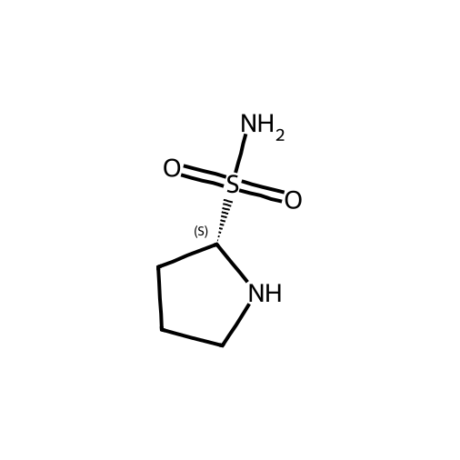 NS(=O)(=O)[C@H]1CCCN1